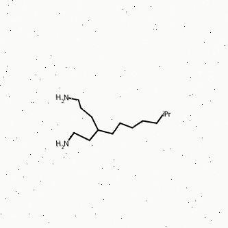 CC(C)CCCCCC(CCN)CCCN